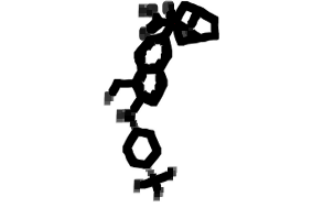 O=C(O)C1CC2CCC(C1)N2C(=O)c1ccc2c(CF)c(N[C@H]3CC[C@@H](C(F)(F)F)CC3)ccc2c1